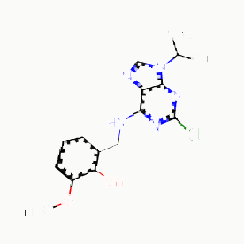 COc1cccc(CNc2nc(Cl)nc3c2ncn3C(C)C)c1O